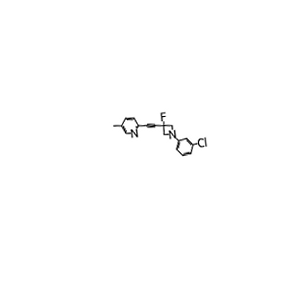 Cc1ccc(C#CC2(F)CN(c3cccc(Cl)c3)C2)nc1